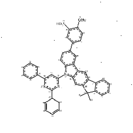 COc1ccc(-c2ccc3c(c2)c2cc4c(cc2n3-c2cc(-c3ccccc3)nc(C3C=CC=CC3)n2)C(C)(C)c2ccccc2-4)cc1S(=O)(=O)O